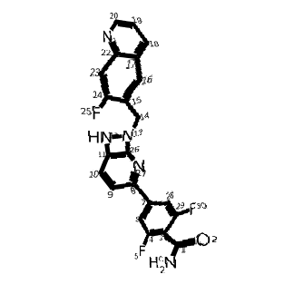 NC(=O)c1c(F)cc(-c2ccc3[nH]n(Cc4cc5cccnc5cc4F)c3n2)cc1F